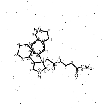 COC(=O)CCOC(=O)C[N+]1(c2ccc3c(c2)CCNC3)C(=O)NCC1C1CCCCC1